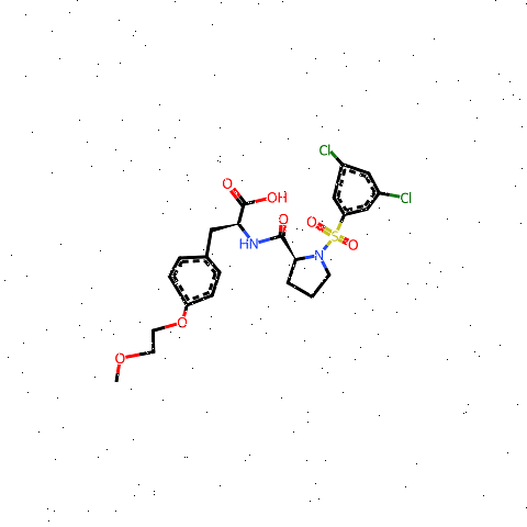 COCCOc1ccc(C[C@H](NC(=O)[C@@H]2CCCN2S(=O)(=O)c2cc(Cl)cc(Cl)c2)C(=O)O)cc1